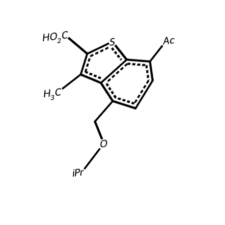 CC(=O)c1ccc(COC(C)C)c2c(C)c(C(=O)O)sc12